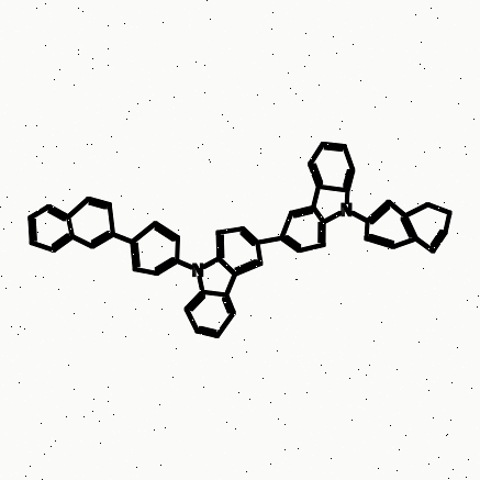 C1=Cc2ccc(-n3c4ccccc4c4cc(-c5ccc6c(c5)c5ccccc5n6-c5ccc(-c6ccc7ccccc7c6)cc5)ccc43)cc2CC1